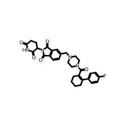 O=C1CCC(N2C(=O)c3ccc(CN4CCN(C(=O)C5=C(c6ccc(F)cc6)CCCC5)CC4)cc3C2=O)C(=O)N1